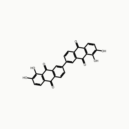 O=C1c2ccc(-c3ccc4c(c3)C(=O)c3c(ccc(O)c3O)C4=O)cc2C(=O)c2c1ccc(O)c2O